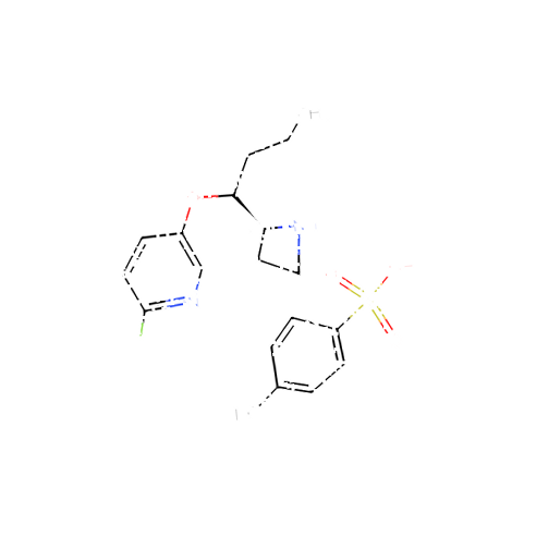 CCCC(Oc1ccc(F)nc1)[C@@H]1CCN1.Cc1ccc(S(=O)(=O)O)cc1